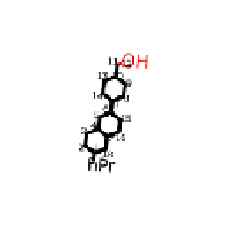 CCCC1CCC2CC(C3CCC(CO)CC3)CCC2C1